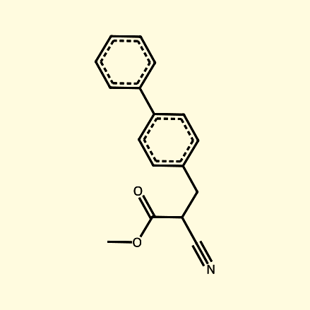 COC(=O)C(C#N)Cc1ccc(-c2ccccc2)cc1